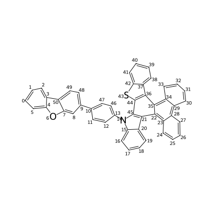 c1ccc2c(c1)oc1cc(-c3ccc(-n4c5ccccc5c5c6c7ccccc7c7ccccc7c6c6c7ccccc7sc6c54)cc3)ccc12